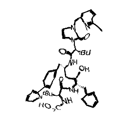 Cc1cccc(CN2CCN([C@H](C(=O)N[C@@H](Cc3ccc(-c4ccccn4)cc3)C[C@@H](O)[C@H](Cc3ccccc3)NC(=O)[C@@H](NC(=O)O)C(C)(C)C)C(C)(C)C)C2=O)n1